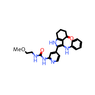 COCCNC(=O)Nc1cc(-c2[nH]c3c(c2Nc2ccccc2)C(=O)CCC3)ccn1